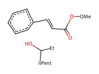 CCCCCC(O)CC.COOC(=O)C=Cc1ccccc1